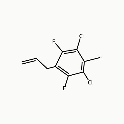 [CH2]c1c(Cl)c(F)c(CC=C)c(F)c1Cl